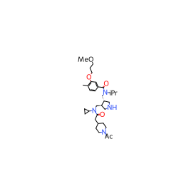 COCCCOc1cc(C(=O)N(C[C@@H]2CNC[C@H]2CN(C(=O)CC2CCN(C(C)=O)CC2)C2CC2)C(C)C)ccc1C